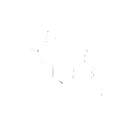 COc1cc(C[C@H]2CCN(C(=O)C3CC3)C2)c(N)c(N)n1